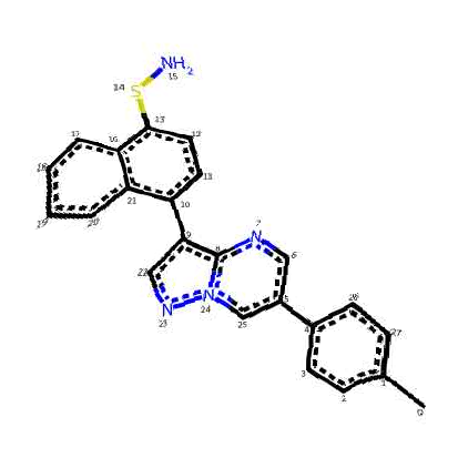 Cc1ccc(-c2cnc3c(-c4ccc(SN)c5ccccc45)cnn3c2)cc1